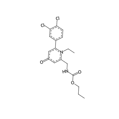 CCCOC(=O)NCc1cc(=O)cc(-c2ccc(Cl)c(Cl)c2)n1CC